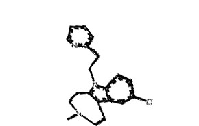 CN1CCc2c(n(CCc3ccccn3)c3ccc(Cl)cc23)CC1